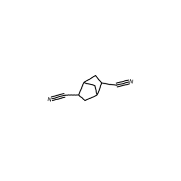 N#CC1CC2CC1CC2C#N